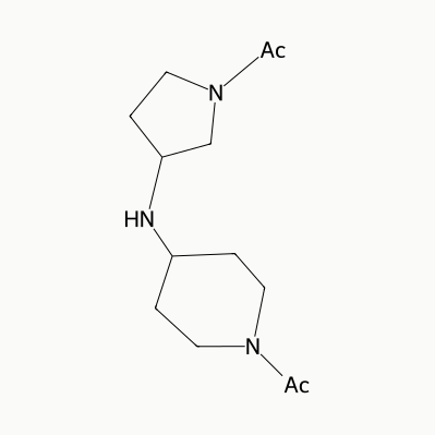 CC(=O)N1CCC(NC2CCN(C(C)=O)C2)CC1